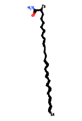 CCC=CC=CC=CC=CC=CCC=CCCCCCCCCCCCC(CC)C(N)=O